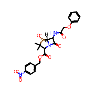 CC1(C)C(C(=O)OCc2ccc([N+](=O)[O-])cc2)N2C(=O)C(NC(=O)COc3ccccc3)[C@H]2[S+]1[O-]